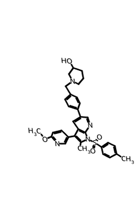 COc1ccc(-c2c(C)n(S(=O)(=O)c3ccc(C)cc3)c3ncc(-c4ccc(CN5CCCC(O)C5)cc4)cc23)cn1